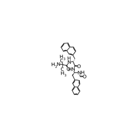 CC(C)(N)C(=O)N[C@H](Cc1ccc2ccccc2c1)C(=O)N[C@H](Cc1ccc2ccccc2c1)NC=O